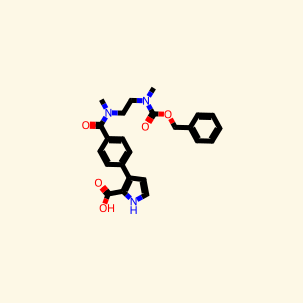 CN(CCN(C)C(=O)c1ccc(-c2cc[nH]c2C(=O)O)cc1)C(=O)OCc1ccccc1